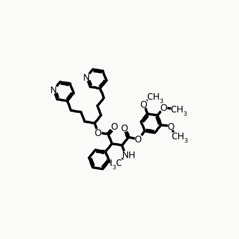 CNC(C(=O)Oc1cc(OC)c(OC)c(OC)c1)C(C(=O)OC(CCCc1cccnc1)CCCc1cccnc1)c1ccccc1